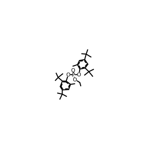 CCOP(=O)(Oc1c(C)cc(C(C)(C)C)cc1C(C)(C)C)Oc1c(C)cc(C(C)(C)C)cc1C(C)(C)C